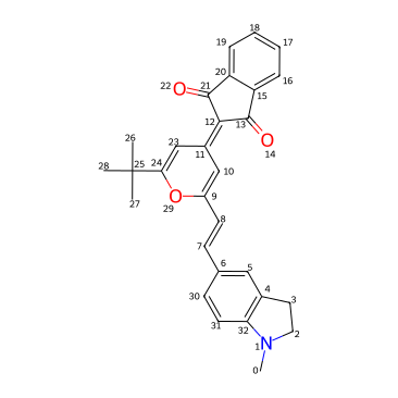 CN1CCc2cc(C=CC3=CC(=C4C(=O)c5ccccc5C4=O)C=C(C(C)(C)C)O3)ccc21